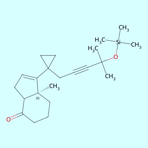 CC(C)(C#CCC1(C2=CCC3C(=O)CCC[C@]23C)CC1)O[Si](C)(C)C